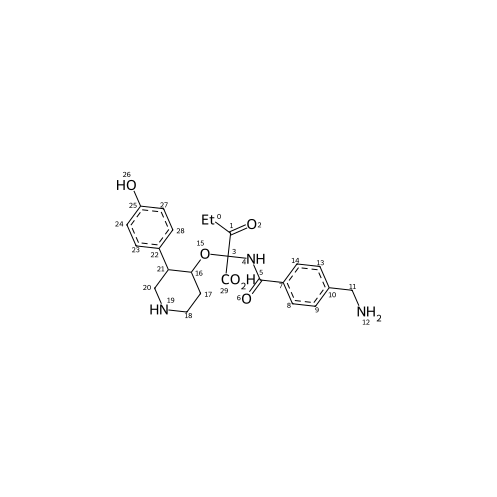 CCC(=O)C(NC(=O)c1ccc(CN)cc1)(OC1CCNCC1c1ccc(O)cc1)C(=O)O